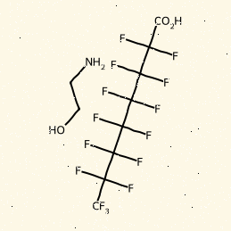 NCCO.O=C(O)C(F)(F)C(F)(F)C(F)(F)C(F)(F)C(F)(F)C(F)(F)C(F)(F)F